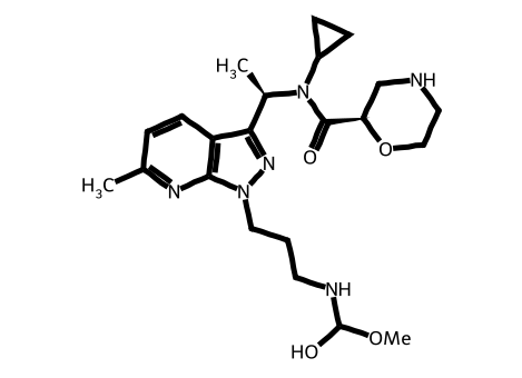 COC(O)NCCCn1nc([C@@H](C)N(C(=O)[C@H]2CNCCO2)C2CC2)c2ccc(C)nc21